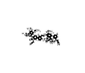 CCOc1cc(C(CS(C)(=O)=O)n2c(=O)n(CC#N)c3cc(-c4cccc(CCOc5cc(C(CS(C)(=O)=O)N(C=O)c6ccc(F)cc6N(C)CC#N)ccc5OC)c4F)ccc32)ccc1OC